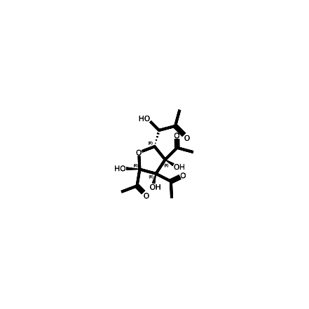 CC(=O)C(O)[C@H]1O[C@@](O)(C(C)=O)[C@@](O)(C(C)=O)[C@@]1(O)C(C)=O